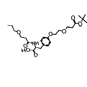 CCCOCCC(=O)N[C@@H](Cc1ccc(OCCOCCC(=O)OC(C)(C)C)cc1)C(=O)O